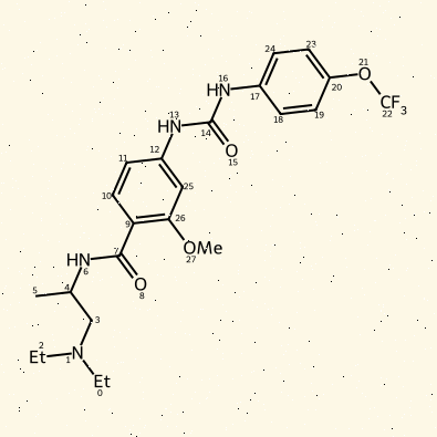 CCN(CC)CC(C)NC(=O)c1ccc(NC(=O)Nc2ccc(OC(F)(F)F)cc2)cc1OC